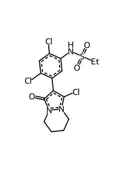 CCS(=O)(=O)Nc1cc(-c2c(Cl)n3n(c2=O)CCCC3)c(Cl)cc1Cl